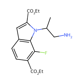 CCOC(=O)c1ccc2cc(C(=O)OCC)n(C(C)CN)c2c1F